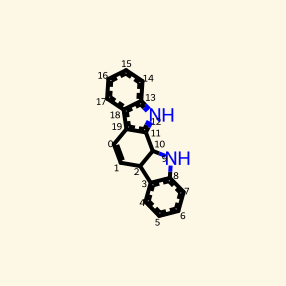 C1=CC2c3ccccc3NC2c2[nH]c3ccccc3c21